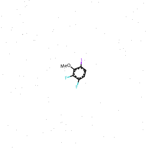 COc1c(I)ccc(F)c1F